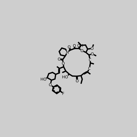 CCC1/C=C(\C)CC(C)CC(OC)C2OC(O)(C(=O)C(=O)N3CCCCC3C(=O)OC(C(C)=CC3CCC(O)C(Oc4ccc(F)cc4)C3)C(C)C(O)CC1=O)C(C)CC2OC